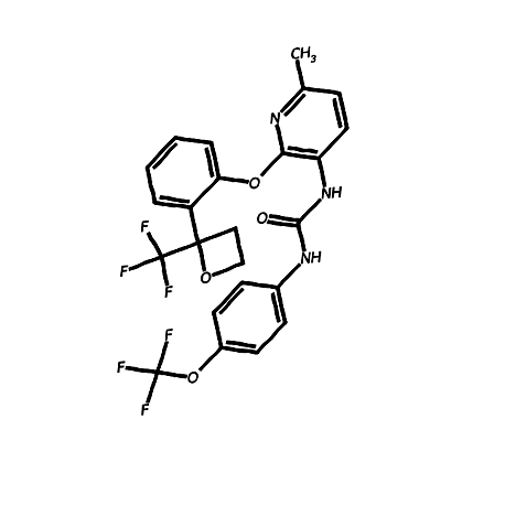 Cc1ccc(NC(=O)Nc2ccc(OC(F)(F)F)cc2)c(Oc2ccccc2C2(C(F)(F)F)CCO2)n1